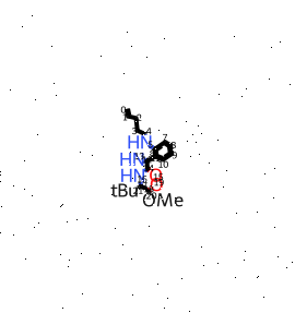 C=CCCCNc1ccccc1C(=N)C(=O)NC(C(=O)OC)C(C)(C)C